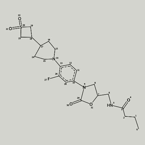 CCCC(=O)NCC1CN(c2ccc(N3CCC(C4CS(=O)(=O)C4)CC3)c(F)c2)C(=O)O1